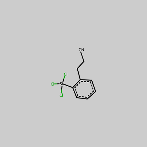 N#CCCc1ccccc1[Si](Cl)(Cl)Cl